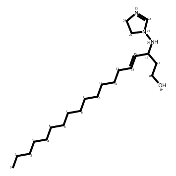 CCCCCCCCCCCCCCC=CC(CCO)NN1C=NCC1